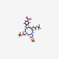 CC(C)(C)OC(=O)CN1CCN(CC(=O)OC(C)(C)C)CCN(Cc2ccc([N+](=O)[O-])cc2)CCN(CC(=O)OC(C)(C)C)CC1